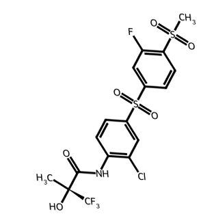 C[C@@](O)(C(=O)Nc1ccc(S(=O)(=O)c2ccc(S(C)(=O)=O)c(F)c2)cc1Cl)C(F)(F)F